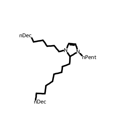 CCCCCCCCCCCCCCCCCCC1N(CCCCC)C=CN1CCCCCCCCCCCCCCC